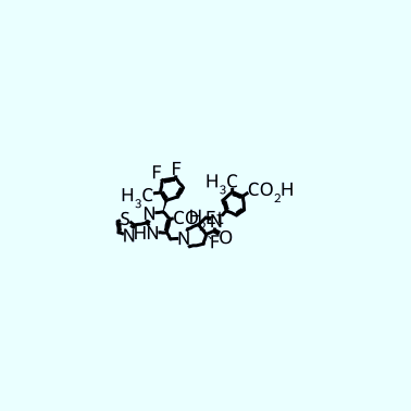 CCOC(=O)C1=C(CN2CC[C@]3(F)C(=O)N(c4ccc(C(=O)O)c(C)c4)C[C@@H]3C2)NC(c2nccs2)=N[C@H]1c1ccc(F)c(F)c1C